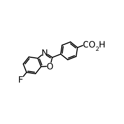 O=C(O)c1ccc(-c2nc3ccc(F)cc3o2)cc1